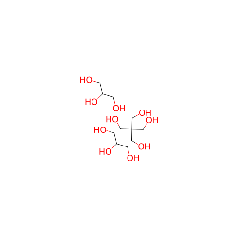 OCC(CO)(CO)CO.OCC(O)CO.OCC(O)CO